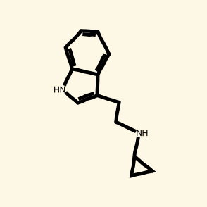 c1ccc2c(CCNC3CC3)c[nH]c2c1